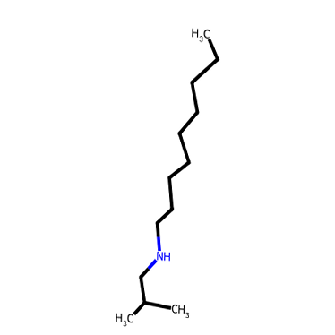 CCCCCCCCCNCC(C)C